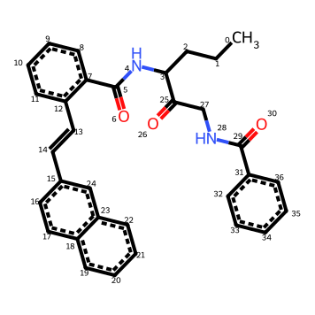 CCCC(NC(=O)c1ccccc1C=Cc1ccc2ccccc2c1)C(=O)CNC(=O)c1ccccc1